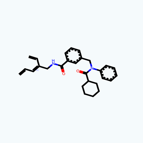 C=C/C=C(\C=C)CNC(=O)c1cccc(CN(C(=O)C2CCCCC2)c2ccccc2)c1